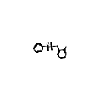 CC(=O)C(C)(c1ccccc1)C(C)(C)Cc1ccccc1C